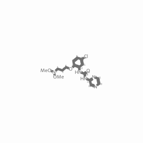 CON(CCCOc1ccc(Cl)cc1NC(=O)Nc1cnccn1)OC